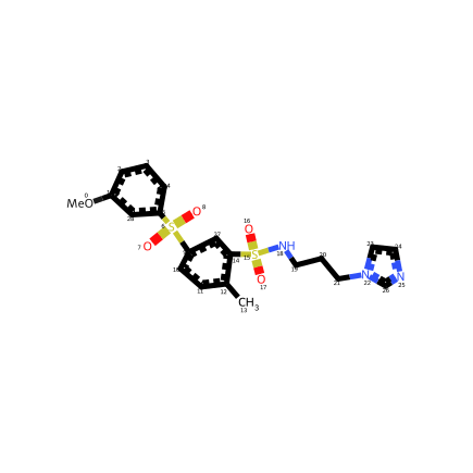 COc1cccc(S(=O)(=O)c2ccc(C)c(S(=O)(=O)NCCCn3ccnc3)c2)c1